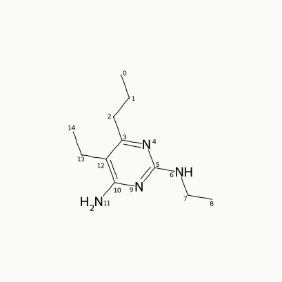 CCCc1nc(NCC)nc(N)c1CC